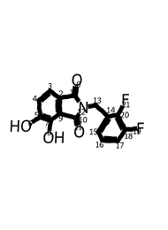 O=C1c2ccc(O)c(O)c2C(=O)N1Cc1cccc(F)c1F